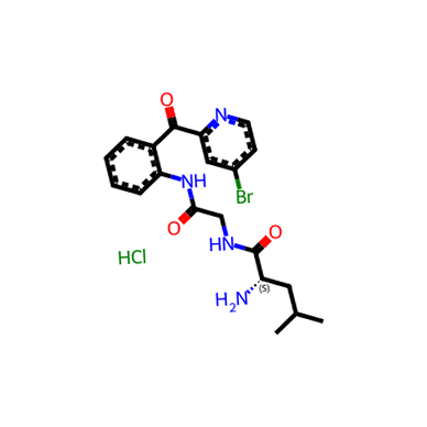 CC(C)C[C@H](N)C(=O)NCC(=O)Nc1ccccc1C(=O)c1cc(Br)ccn1.Cl